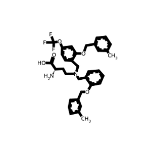 Cc1cccc(COc2ccccc2CN(CC[C@H](N)C(=O)O)Cc2ccc(OC(F)(F)F)cc2OCc2cccc(C)c2)c1